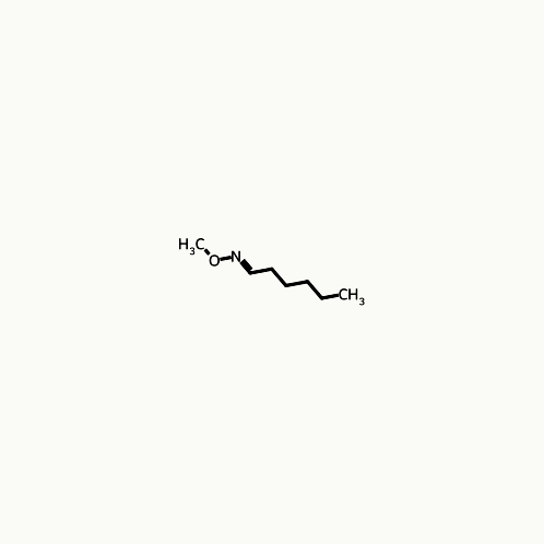 CCCCCC=NOC